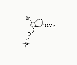 COc1cc2c(cn1)c(Br)cn2COCC[Si](C)(C)C